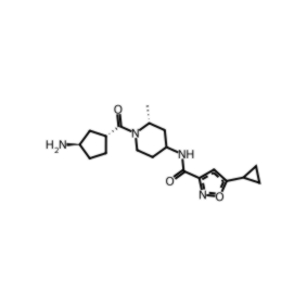 C[C@@H]1CC(NC(=O)c2cc(C3CC3)on2)CCN1C(=O)[C@@H]1CC[C@@H](N)C1